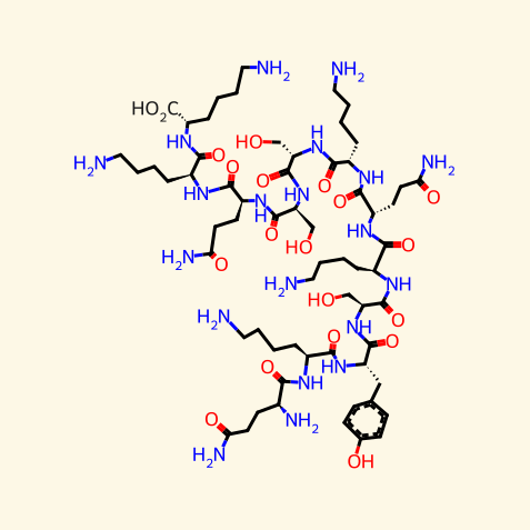 NCCCC[C@H](NC(=O)[C@H](CCCCN)NC(=O)[C@H](CCC(N)=O)NC(=O)[C@H](CO)NC(=O)[C@H](CO)NC(=O)[C@H](CCCCN)NC(=O)[C@H](CCC(N)=O)NC(=O)[C@H](CCCCN)NC(=O)[C@H](CO)NC(=O)[C@H](Cc1ccc(O)cc1)NC(=O)[C@H](CCCCN)NC(=O)[C@@H](N)CCC(N)=O)C(=O)O